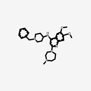 COc1cc2nc(N3CCCN(C)CC3)cc(NC3CCN(Cc4ccccc4)CC3)c2cc1OC